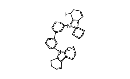 IC1CC=Cc2c1n(-c1cccc(-c3cccc(-n4c5c(c6ccccc64)C=CCC5)c3)c1)c1ccccc21